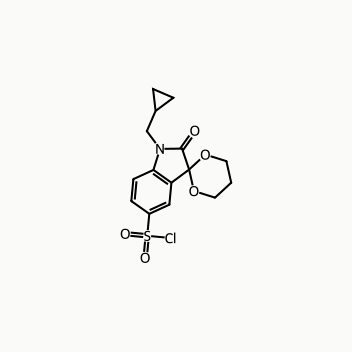 O=C1N(CC2CC2)c2ccc(S(=O)(=O)Cl)cc2C12OCCCO2